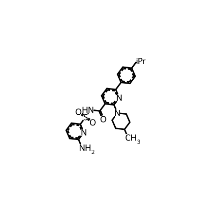 CC1CCN(c2nc(-c3ccc(C(C)C)cc3)ccc2C(=O)NS(=O)(=O)c2cccc(N)n2)CC1